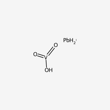 [O]=[V](=[O])[OH].[PbH2]